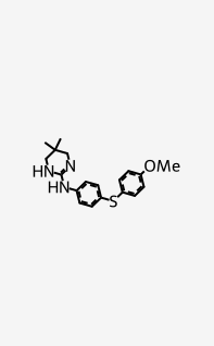 COc1ccc(Sc2ccc(NC3=NCC(C)(C)CN3)cc2)cc1